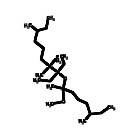 CCC(C)CCC[Si](C)(OC)O[Si](CC)(CC)[Si](C)(C)CCCC(C)CC